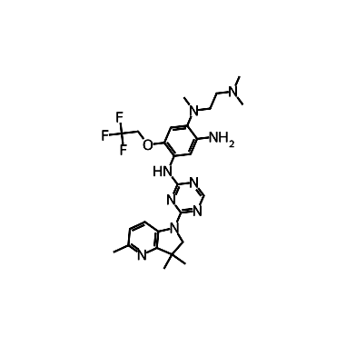 Cc1ccc2c(n1)C(C)(C)CN2c1ncnc(Nc2cc(N)c(N(C)CCN(C)C)cc2OCC(F)(F)F)n1